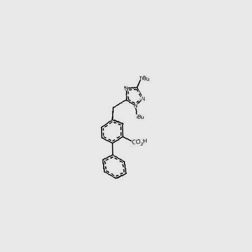 CCCCc1nc(Cc2ccc(-c3ccccc3)c(C(=O)O)c2)n(C(C)CC)n1